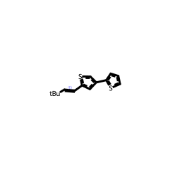 CC(C)(C)/C=C/c1cc(-c2cccs2)cs1